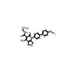 O=C(O)CNC(=O)c1c(O)c2c(n(-c3ccc(-c4ccc(OC(F)(F)F)cc4)cc3)c1=O)CSC2